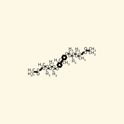 C=C(C)C(=O)OCCOC(C)OC(C)OC(C)OC(C)Oc1ccc(C(C)(C)c2ccc(OC(C)OC(C)OC(C)OC(C)OCCOC(=O)C(=C)C)cc2)cc1